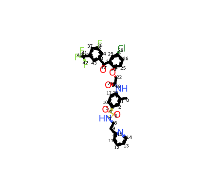 Cc1cc(S(=O)(=O)NCCc2ccccn2)ccc1NC(=O)COc1ccc(Cl)cc1C(=O)c1cc(F)cc(C(F)(F)F)c1